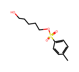 Cc1ccc(S(=O)(=O)OCCCCCO)cc1